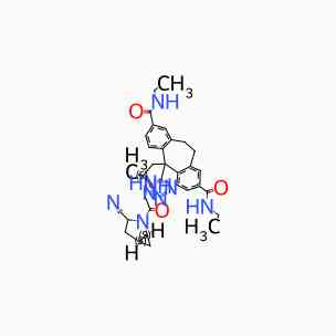 CCNC(=O)c1ccc2c(c1)CCc1cc(C(=O)NCC)ccc1C2(C[C@H](C)NCC(=O)N1C(C#N)C[C@@H]2C[C@@H]21)c1nnn[nH]1